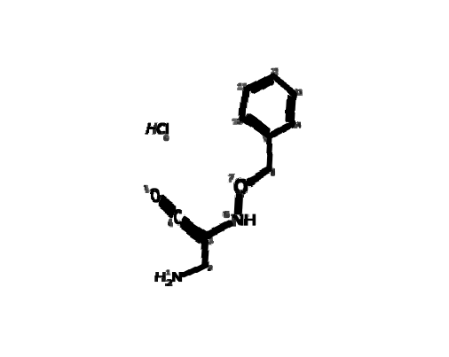 Cl.NCC(=C=O)NOCc1ccccc1